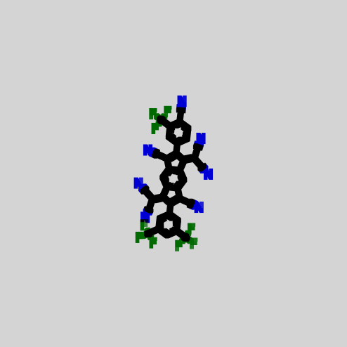 N#CC(C#N)=C1C(c2cc(C(F)(F)F)cc(C(F)(F)F)c2)=C(C#N)c2cc3c(cc21)C(C#N)=C(c1ccc(C#N)c(C(F)(F)F)c1)C3=C(C#N)C#N